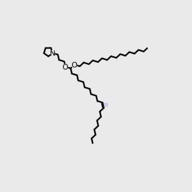 CCCCCCCC/C=C\CCCCCCCCCC(OCCCCCCCCCCCCCCCC)OCCCN1CCCC1